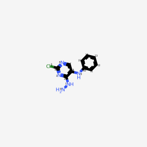 NNc1nc(Cl)ncc1Nc1ccccc1